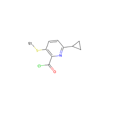 CCSc1ccc(C2CC2)nc1C(=O)Cl